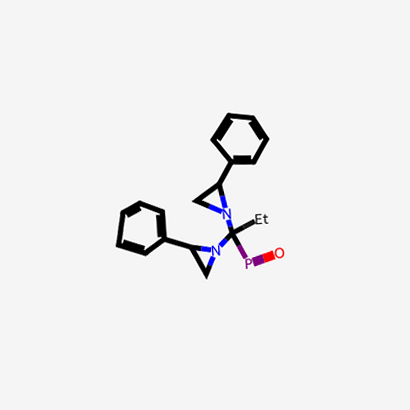 CCC(P=O)(N1CC1c1ccccc1)N1CC1c1ccccc1